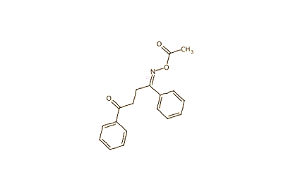 CC(=O)O/N=C(/CCC(=O)c1ccccc1)c1ccccc1